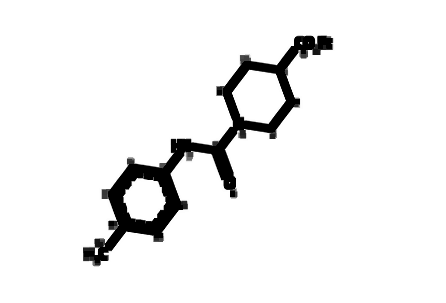 CCOC(=O)C1CCN(C(=O)Nc2ccc(C)cc2)CC1